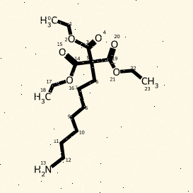 CCOC(=O)C(CCCCCCCN)(C(=O)OCC)C(=O)OCC